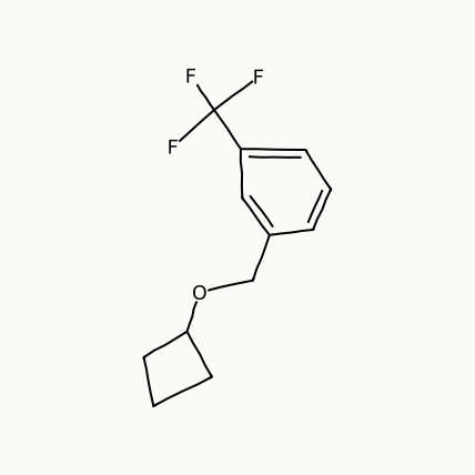 FC(F)(F)c1cccc(COC2CCC2)c1